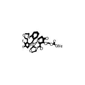 COC(=O)OCOc1c2n(ccc1=O)N([C@@H]1c3ccccc3N3CCOCC3c3c1ccc(F)c3F)[C@@H]1COCCN1C2=O